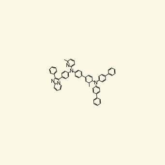 Cc1cccc(N(c2ccc(C3=CC(C)C(N(c4ccc(-c5ccccc5)cc4)c4ccc(-c5ccccc5)cc4)C=C3)cc2)c2ccc(-c3c(-c4ccccc4)nc4ccccn34)cc2)n1